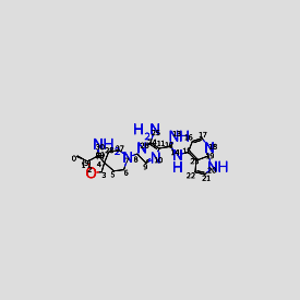 C[C@@H]1OCC2(CCN(c3cnc(C(=N)Nc4ccnc5[nH]ccc45)c(N)n3)CC2)[C@@H]1N